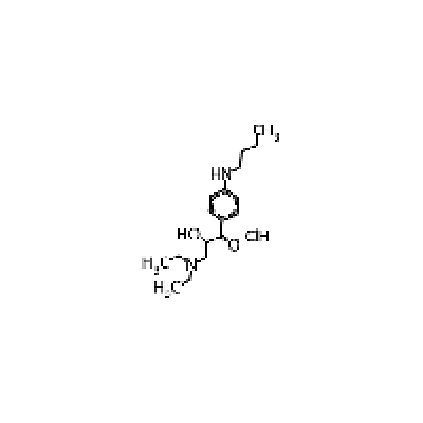 CCCCNc1ccc(C(=O)C(O)CN(CC)CC)cc1.Cl